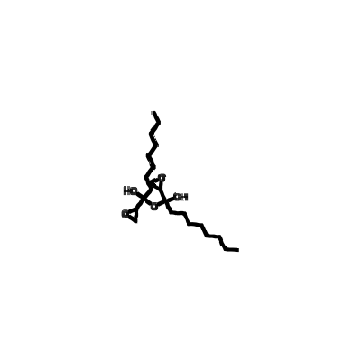 CCCCCCCCC(O)(OC(O)(CCCCCCCC)C1CO1)C1CO1